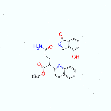 CC(C)(C)OC(=O)C(CCC(N)=O)c1ccc2ccccc2n1.O=C1N=Cc2c(O)cccc21